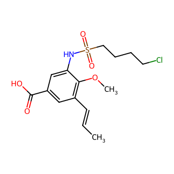 C/C=C/c1cc(C(=O)O)cc(NS(=O)(=O)CCCCCl)c1OC